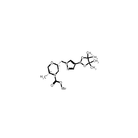 C[C@@H]1CO[C@H](Cn2cc(B3OC(C)(C)C(C)(C)O3)cn2)CN1C(=O)OC(C)(C)C